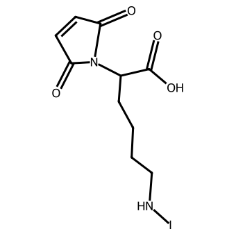 O=C(O)C(CCCCNI)N1C(=O)C=CC1=O